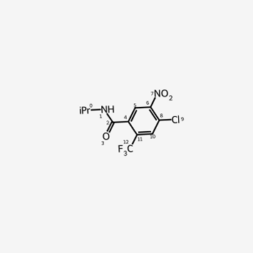 CC(C)NC(=O)c1cc([N+](=O)[O-])c(Cl)cc1C(F)(F)F